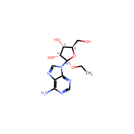 CCO[C@@]1(n2cnc3c(N)ncnc32)O[C@H](CO)[C@@H](O)[C@H]1O